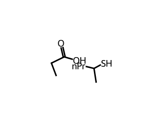 CCC(=O)O.CCCC(C)S